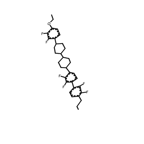 CCCc1ccc(-c2ccc(C3CCC(C4CCC(c5ccc(OCC)c(F)c5F)CC4)CC3)c(F)c2F)c(F)c1F